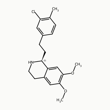 COc1cc2c(cc1OC)[C@H](CCc1ccc(C)c(Cl)c1)NCC2